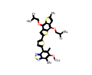 CCCCCCCCOc1c(C)c(-c2ccc(-c3cc4c(OCC(CC)CCCC)c5sc(C(C)(C)C)cc5c(OCC(CC)CCCC)c4s3)s2)c2nsnc2c1C(C)(C)C